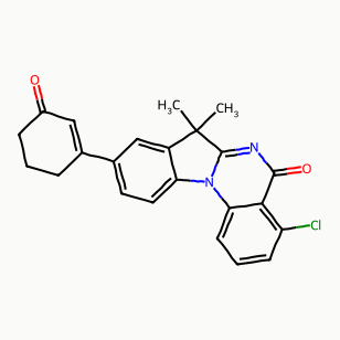 CC1(C)c2cc(C3=CC(=O)CCC3)ccc2-n2c1nc(=O)c1c(Cl)cccc12